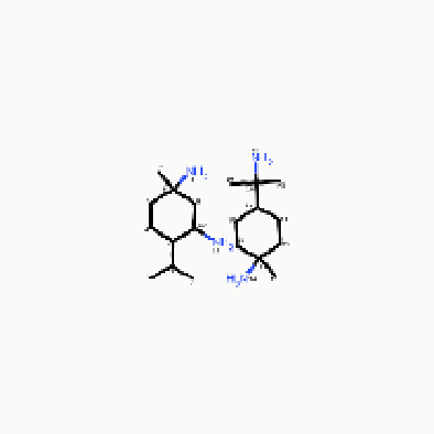 CC(C)C1CCC(C)(N)CC1N.CC1(N)CCC(C(C)(C)N)CC1